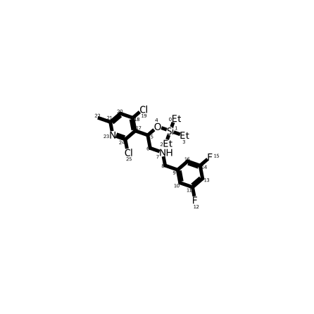 CC[Si](CC)(CC)OC(CNCc1cc(F)cc(F)c1)c1c(Cl)cc(C)nc1Cl